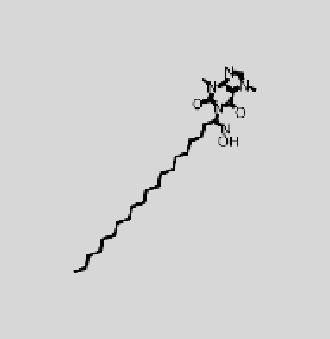 CCCCCCCCCCCCCCCCCCCC(=NO)n1c(=O)c2c(ncn2C)n(C)c1=O